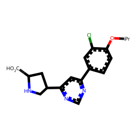 CC(C)Oc1ccc(-c2cc(C3CNC(C(=O)O)C3)ncn2)cc1Cl